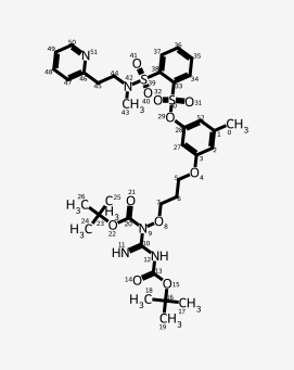 Cc1cc(OCCCON(C(=N)NC(=O)OC(C)(C)C)C(=O)OC(C)(C)C)cc(OS(=O)(=O)c2ccccc2S(=O)(=O)N(C)CCc2ccccn2)c1